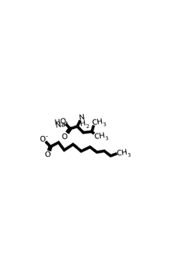 CC(C)CC(N)C(=O)O.CCCCCCCCCC(=O)[O-].[Na+]